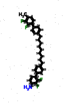 Cc1ccc(-c2ccc(CCCCCCCCCc3ccc(-c4ccc(N)c(F)c4F)cc3)cc2)c(F)c1F